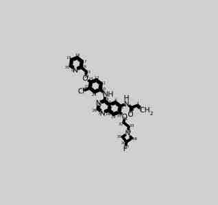 C=CC(=O)Nc1cc2c(Nc3ccc(OCc4ccccn4)c(Cl)c3)ncnc2cc1OCCN1CC(F)C1